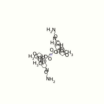 C[C@]12CCC(=NOCCN)CC1CC(OC(=O)/C=C/C(=O)OC1CC3CC(=NOCCN)CC[C@]3(C)[C@@H]3CC[C@]4(C)C(=O)CC[C@H]4[C@H]13)[C@@H]1[C@H]2CC[C@]2(C)C(=O)CC[C@@H]12